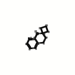 c1cnc2c(c1)CCC1(CCC1)O2